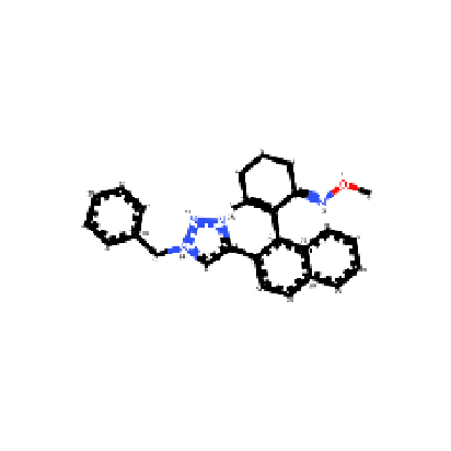 CON=C1CCCC(C)=C1c1c(-c2cn(Cc3ccccc3)nn2)ccc2ccccc12